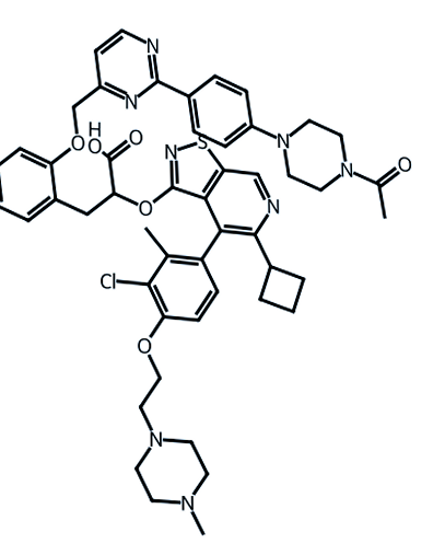 CC(=O)N1CCN(c2ccc(-c3nccc(COc4ccccc4CC(Oc4nsc5cnc(C6CCC6)c(-c6ccc(OCCN7CCN(C)CC7)c(Cl)c6C)c45)C(=O)O)n3)cc2)CC1